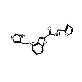 O=C(NCc1cccs1)c1cc2c(NCc3cnc[nH]3)cccc2s1